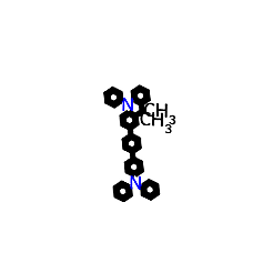 CC1(C)c2ccccc2N(c2ccccc2)c2ccc(-c3ccc(-c4ccc(N(c5ccccc5)c5ccccc5)cc4)cc3)cc21